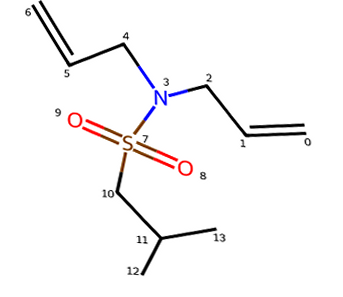 C=CCN(CC=C)S(=O)(=O)CC(C)C